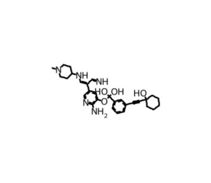 CN1CCC(N/C=C(\C=N)c2cnc(N)c(OC(O)(O)c3cccc(C#CC4(O)CCCCC4)c3)c2)CC1